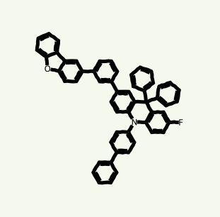 Fc1ccc2c(c1)C(c1ccccc1)(c1ccccc1)c1cc(-c3cccc(-c4ccc5oc6ccccc6c5c4)c3)ccc1N2c1ccc(-c2ccccc2)cc1